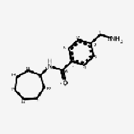 NCc1ccc(C(=O)NC2CCCCCC2)cc1